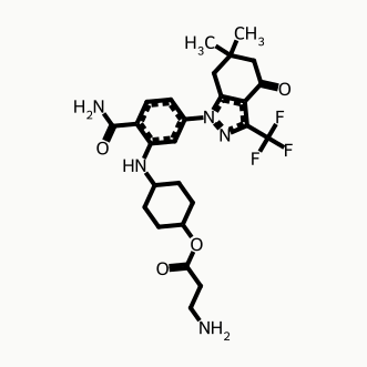 CC1(C)CC(=O)c2c(C(F)(F)F)nn(-c3ccc(C(N)=O)c(NC4CCC(OC(=O)CCN)CC4)c3)c2C1